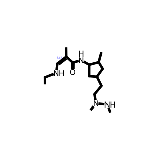 CCN/C=C(/C)C(=O)NC1CC(CCN(C)NC)CC1C